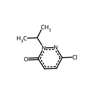 CC(C)n1nc(Cl)ccc1=O